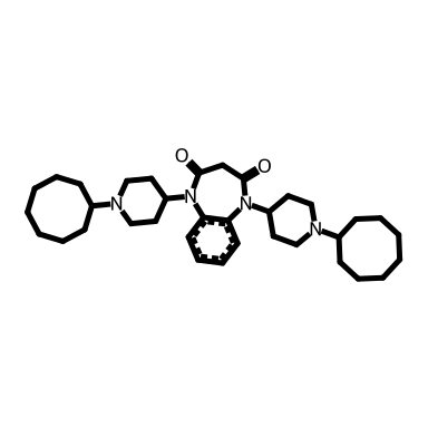 O=C1CC(=O)N(C2CCN(C3CCCCCCC3)CC2)c2ccccc2N1C1CCN(C2CCCCCCC2)CC1